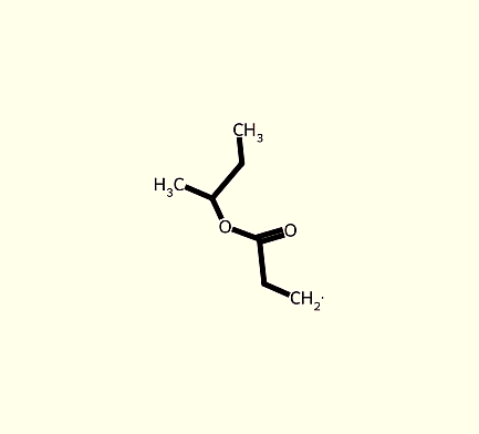 [CH2]CC(=O)OC(C)CC